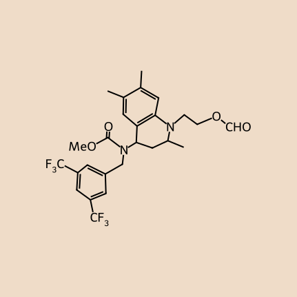 COC(=O)N(Cc1cc(C(F)(F)F)cc(C(F)(F)F)c1)C1CC(C)N(CCOC=O)c2cc(C)c(C)cc21